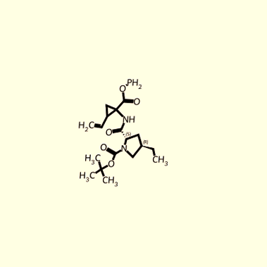 C=CC1CC1(NC(=O)[C@@H]1C[C@@H](CC)CN1C(=O)OC(C)(C)C)C(=O)OP